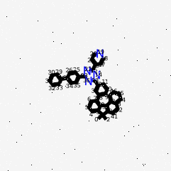 CC1(C)c2cccc(-c3cccc(-c4nc(-c5ccncc5)nc(-c5ccc(-c6ccccc6)cc5)n4)c3)c2-c2c1ccc1ccccc21